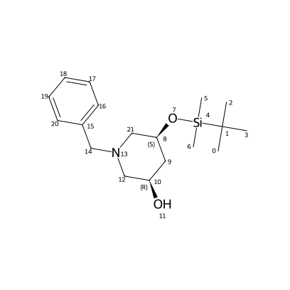 CC(C)(C)[Si](C)(C)O[C@H]1C[C@@H](O)CN(Cc2ccccc2)C1